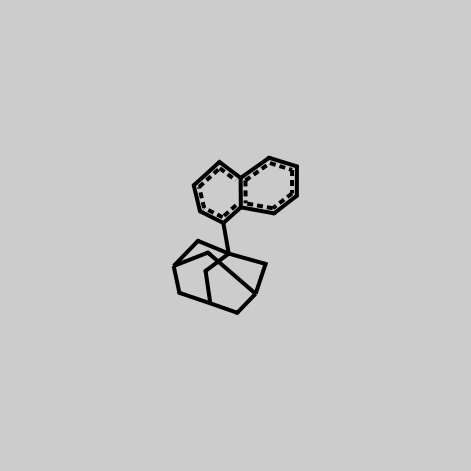 c1ccc2c(C34CC5CC(CC(C5)C3)C4)cccc2c1